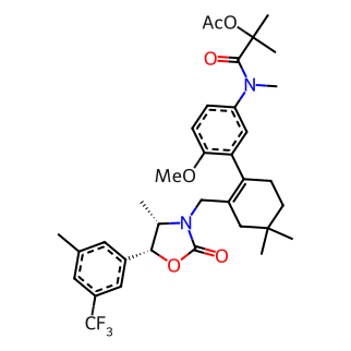 COc1ccc(N(C)C(=O)C(C)(C)OC(C)=O)cc1C1=C(CN2C(=O)O[C@H](c3cc(C)cc(C(F)(F)F)c3)[C@@H]2C)CC(C)(C)CC1